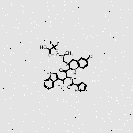 CC(c1c[nH]c2ccccc12)C(NC(=O)c1ccc[nH]1)C(=O)C1Nc2ccc(Cl)cc2C[C@@H]1CN(C)C.O=C(O)C(F)(F)F